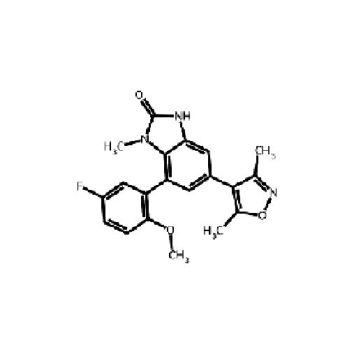 COc1ccc(F)cc1-c1cc(-c2c(C)noc2C)cc2[nH]c(=O)n(C)c12